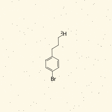 [2H]CCCc1ccc(Br)cc1